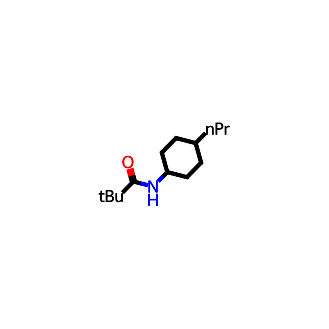 CCCC1CCC(NC(=O)C(C)(C)C)CC1